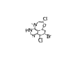 CN1C=C(Cl)Oc2cc(Br)c(Cl)c3c2=C1NCN=3